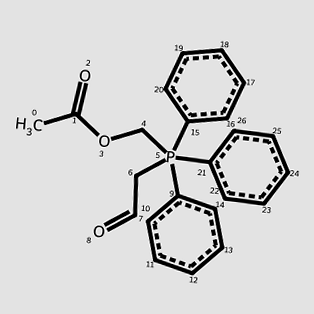 CC(=O)OCP(CC=O)(c1ccccc1)(c1ccccc1)c1ccccc1